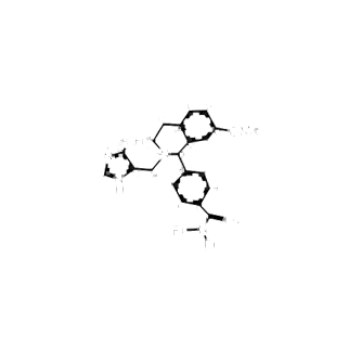 CCN(CC)C(=O)c1ccc(C2c3cc(OC)ccc3CCN2Cc2[nH]cnc2C)cc1